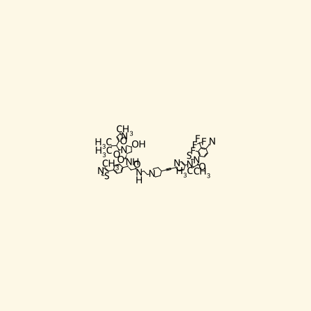 Cc1cc(C(C(=O)N2C[C@H](O)C[C@H]2C(=O)N[C@@H](CC(=O)NCCN2CCC(C#Cc3ccc(N4C(=S)N(c5ccc(C#N)c(C(F)(F)F)c5F)C(=O)C4(C)C)cn3)CC2)c2ccc(-c3scnc3C)cc2)C(C)C)on1